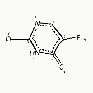 O=c1[nH]c(Cl)ncc1F